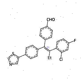 CC/C(=C(/c1ccc(C=O)cc1)c1ccc(-c2cncs2)cc1)c1ccc(F)cc1Cl